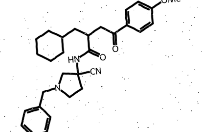 COc1ccc(C(=O)CC(CC2CCCCC2)C(=O)NC2(C#N)CCN(Cc3ccccc3)C2)cc1